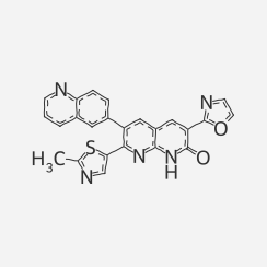 Cc1ncc(-c2nc3[nH]c(=O)c(-c4ncco4)cc3cc2-c2ccc3ncccc3c2)s1